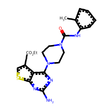 CCOC(=O)c1csc2nc(N)nc(N3CCN(C(=O)Nc4ccccc4C)CC3)c12